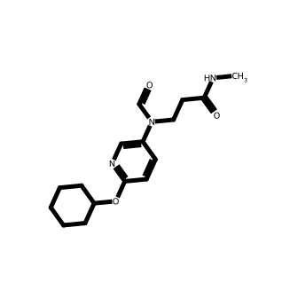 CNC(=O)CCN(C=O)c1ccc(OC2CCCCC2)nc1